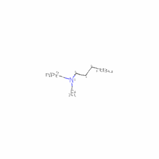 CCCN(CC)CCCC(C)(C)C